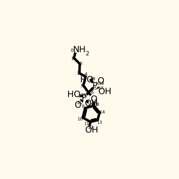 NCCCCCC(Oc1ccc(O)cc1)(P(=O)(O)O)P(=O)(O)O